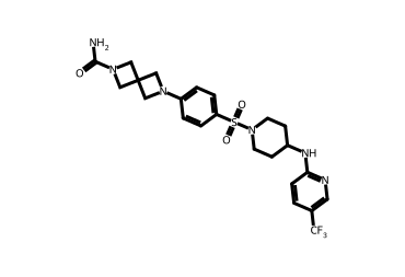 NC(=O)N1CC2(C1)CN(c1ccc(S(=O)(=O)N3CCC(Nc4ccc(C(F)(F)F)cn4)CC3)cc1)C2